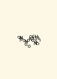 CC1(C)c2ccccc2N(c2ccc(N(c3ccc(-c4nc5ccccc5s4)cc3)c3cccc(-c4ccccc4)c3)cc2)c2ccc(-c3nc4ccccc4s3)cc21